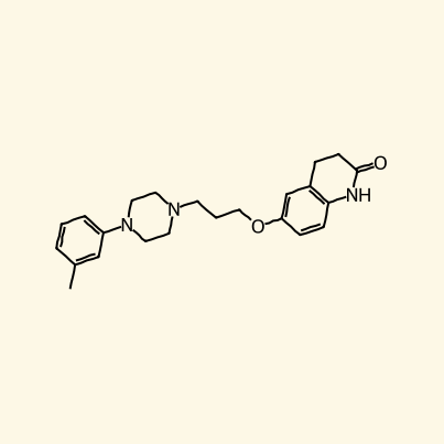 Cc1cccc(N2CCN(CCCOc3ccc4c(c3)CCC(=O)N4)CC2)c1